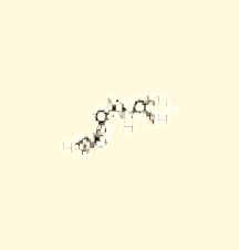 N=Cc1cc(Nc2ccnc(-c3cccc(OCC(=O)N4CCNCC4)c3)n2)ccc1N